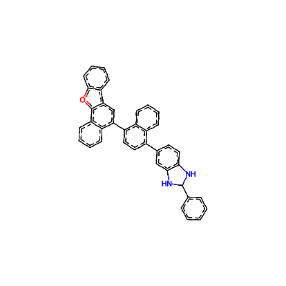 c1ccc(C2Nc3ccc(-c4ccc(-c5cc6c7ccccc7oc6c6ccccc56)c5ccccc45)cc3N2)cc1